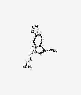 CCCCn1cc(C#N)c2ccc(OC)cc21